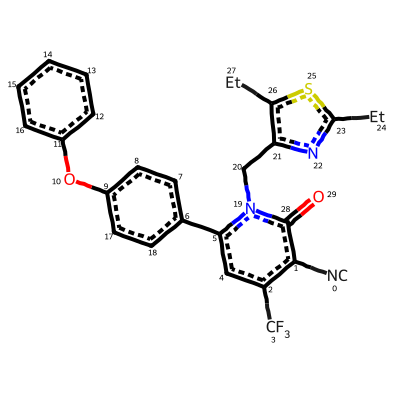 [C-]#[N+]c1c(C(F)(F)F)cc(-c2ccc(Oc3ccccc3)cc2)n(Cc2nc(CC)sc2CC)c1=O